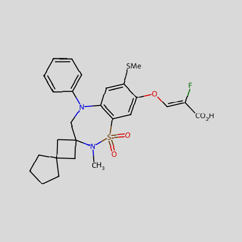 CSc1cc2c(cc1O/C=C(\F)C(=O)O)S(=O)(=O)N(C)C1(CN2c2ccccc2)CC2(CCCC2)C1